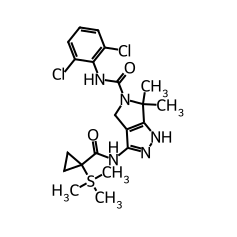 CC1(C)c2[nH]nc(NC(=O)C3(S(C)(C)C)CC3)c2CN1C(=O)Nc1c(Cl)cccc1Cl